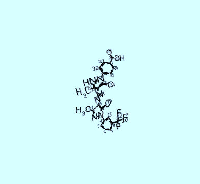 CC1=NN(c2cccc(C(F)(F)F)c2)C(=O)C1N=Nc1c(C)[nH]n(-c2ccc(C(=O)O)cc2)c1=O